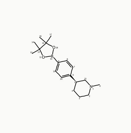 CN1CCC[C@@H](c2ccc(B3OC(C)(C)C(C)(C)O3)cc2)C1